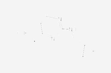 CC1(SNc2nccc(C(C)(C)C=O)n2)CC1